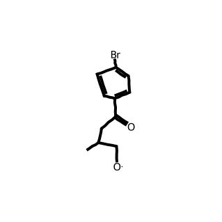 CC(C[O])CC(=O)c1ccc(Br)cc1